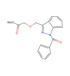 COC(=O)COCc1nn(C(=O)c2ccccc2)c2ccccc12